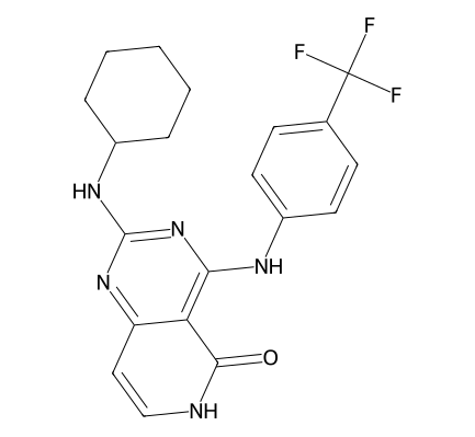 O=c1[nH]ccc2nc(NC3CCCCC3)nc(Nc3ccc(C(F)(F)F)cc3)c12